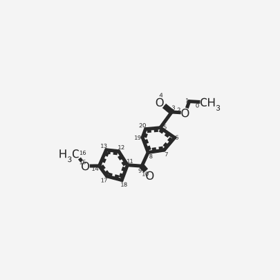 CCOC(=O)c1ccc(C(=O)c2ccc(OC)cc2)cc1